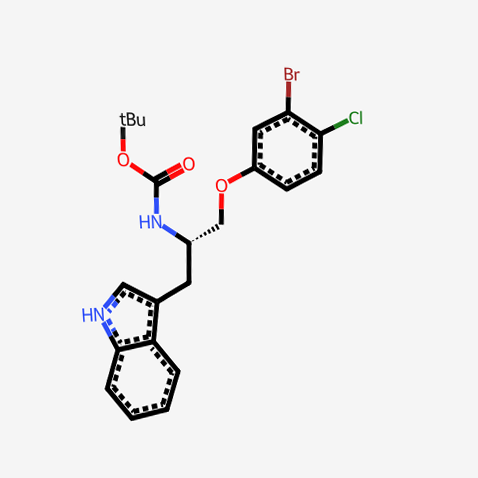 CC(C)(C)OC(=O)N[C@H](COc1ccc(Cl)c(Br)c1)Cc1c[nH]c2ccccc12